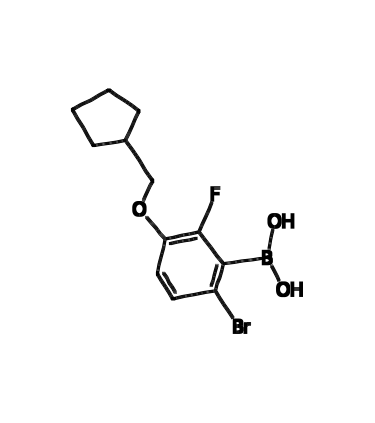 OB(O)c1c(Br)ccc(OCC2CCCC2)c1F